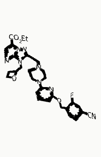 CCOC(=O)c1cnc2n(CC3CCO3)c(CN3CCN(c4cccc(OCc5ccc(C#N)cc5F)n4)CC3)nn12